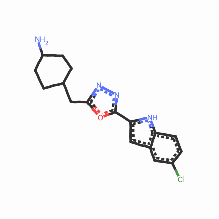 NC1CCC(Cc2nnc(-c3cc4cc(Cl)ccc4[nH]3)o2)CC1